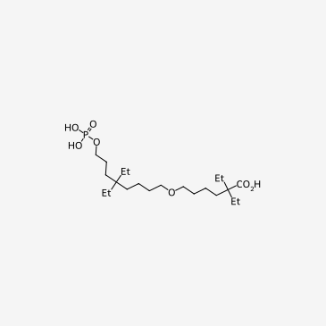 CCC(CC)(CCCCOCCCCC(CC)(CC)C(=O)O)CCCOP(=O)(O)O